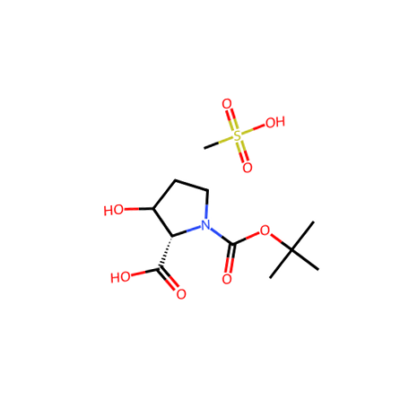 CC(C)(C)OC(=O)N1CCC(O)[C@H]1C(=O)O.CS(=O)(=O)O